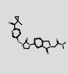 CN(C)C(=O)CN1Cc2ccc(N3CC[C@@H](Oc4ccc(C(=O)C5(C)CC5)nc4)C3=O)cc2C1=O